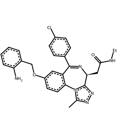 CCNC(=O)C[C@@H]1N=C(c2ccc(Cl)cc2)c2cc(OCc3ccccc3N)ccc2-n2c(C)nnc21